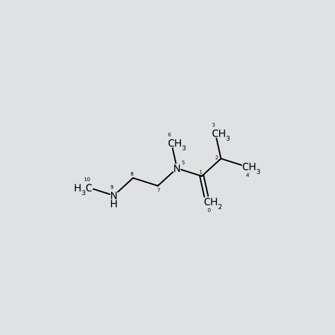 C=C(C(C)C)N(C)CCNC